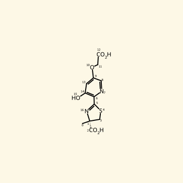 C[C@]1(C(=O)O)CSC(c2ncc(OCC(=O)O)cc2O)=N1